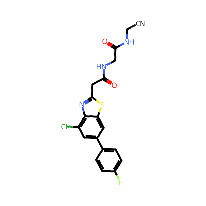 N#CCNC(=O)CNC(=O)Cc1nc2c(Cl)cc(-c3ccc(F)cc3)cc2s1